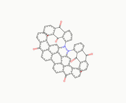 O=C1c2ccccc2C(=O)c2c1cccc2-n1c2cc3c4ccccc4c(=O)c4ccc5c6ccc7c(=O)c8ccccc8c8cc(c(c6c78)c2c5c43)n1-c1cccc2c1C(=O)c1ccccc1C2=O